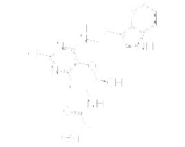 C[C@@H](CNC(=O)OC(C)(C)C)Oc1c(Cl)nc(Cl)nc1NCCc1c[nH]c2ccccc12